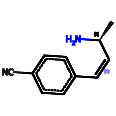 C[C@@H](N)/C=C\c1ccc(C#N)cc1